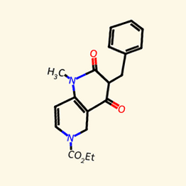 CCOC(=O)N1C=CC2=C(C1)C(=O)C(Cc1ccccc1)C(=O)N2C